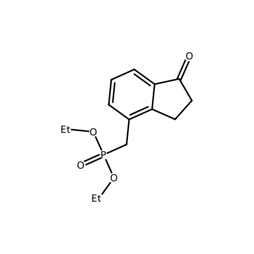 CCOP(=O)(Cc1cccc2c1CCC2=O)OCC